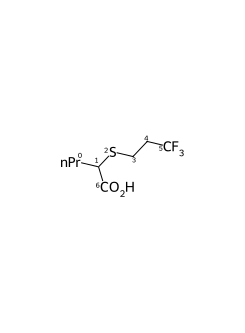 CCCC(SCCC(F)(F)F)C(=O)O